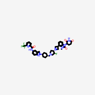 Cn1c(=O)n(C2CCC(=O)NC2=O)c2cccc(C3CN([C@H]4CCN(C[C@H]5CC[C@H](n6cc7cc(NC(=O)c8cccc(C(F)(F)F)n8)ccc7n6)CC5)C[C@@H]4F)C3)c21